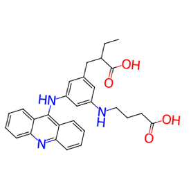 CCC(Cc1cc(NCCCC(=O)O)cc(Nc2c3ccccc3nc3ccccc23)c1)C(=O)O